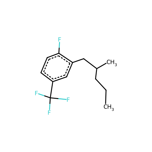 CCCC(C)Cc1cc(C(F)(F)F)ccc1F